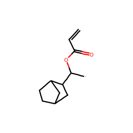 [CH2]C(OC(=O)C=C)C1CC2CCC1C2